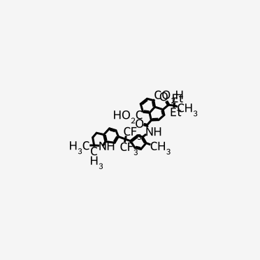 CCC(C)(CC)C(=O)c1ccc(C(=O)Nc2cc(C(c3ccc4c(c3)NC(C)(C)CC4)(C(F)(F)F)C(F)(F)F)ccc2C)c2c(C(=O)O)ccc(C(=O)O)c12